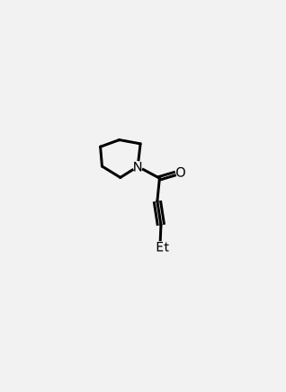 [CH2]CC#CC(=O)N1CCCCC1